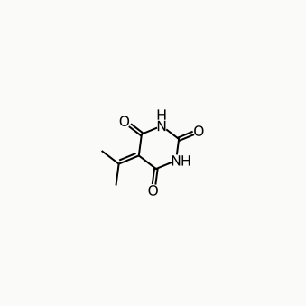 CC(C)=C1C(=O)NC(=O)NC1=O